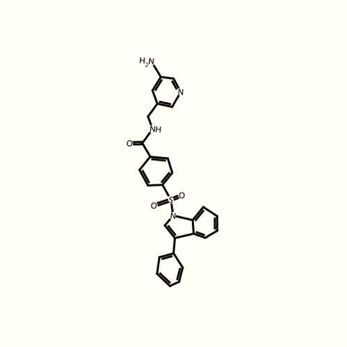 Nc1cncc(CNC(=O)c2ccc(S(=O)(=O)n3cc(-c4ccccc4)c4ccccc43)cc2)c1